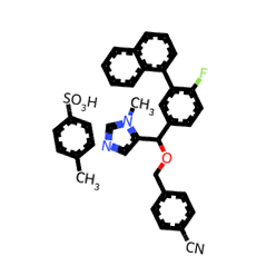 Cc1ccc(S(=O)(=O)O)cc1.Cn1cncc1C(OCc1ccc(C#N)cc1)c1ccc(F)c(-c2cccc3ccccc23)c1